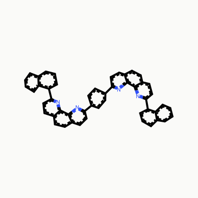 c1ccc2c(-c3ccc4ccc5ccc(-c6ccc(-c7ccc8ccc9ccc(-c%10cccc%11ccccc%10%11)nc9c8n7)cc6)nc5c4n3)cccc2c1